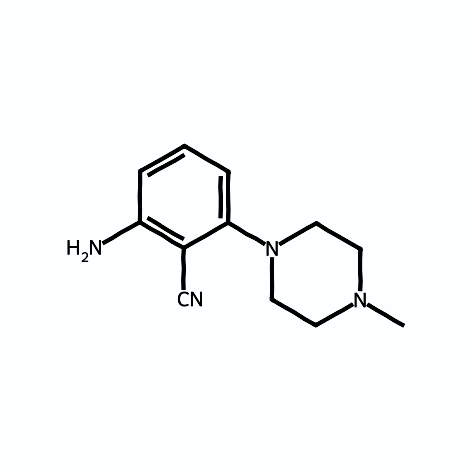 CN1CCN(c2cccc(N)c2C#N)CC1